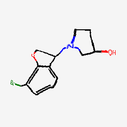 OC1CCN(C2COc3c(Br)cccc32)C1